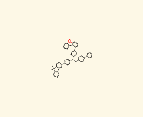 CC1(C)c2ccccc2-c2cc(-c3ccc(C(Cc4ccc(-c5ccccc5)cc4)c4ccc(-c5cccc6oc7ccccc7c56)cc4)cc3)ccc21